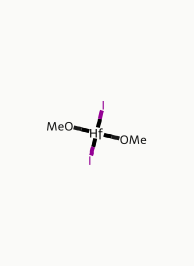 C[O][Hf]([I])([I])[O]C